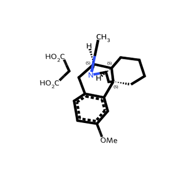 COc1ccc2c(c1)[C@]13CCCC[C@@H]1[C@H](C2)N(C)CC3.O=C(O)CC(=O)O